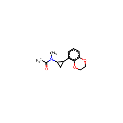 CN(C(=O)C(F)(F)F)C1CC1c1cccc2c1OCCO2